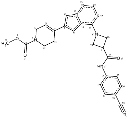 COC(=O)N1CC=C(c2cc3c(N4CC(C(=O)Nc5ccc(C#N)cc5)C4)ncnn3c2)CC1